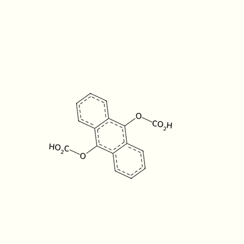 O=C(O)Oc1c2ccccc2c(OC(=O)O)c2ccccc12